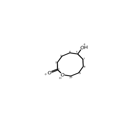 O=C1CCCC(O)CCCCO1